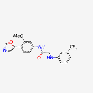 COc1cc(NC(=O)CNc2cccc(C(F)(F)F)c2)ccc1-c1cnco1